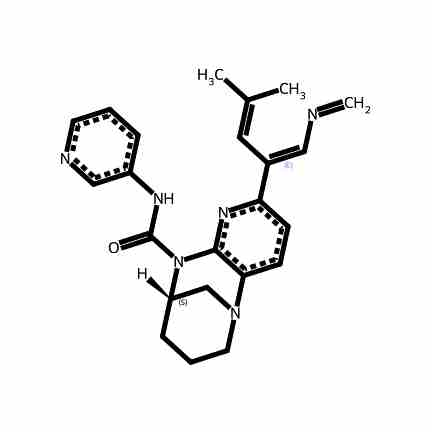 C=N/C=C(\C=C(C)C)c1ccc2c(n1)N(C(=O)Nc1cccnc1)[C@H]1CCCN2C1